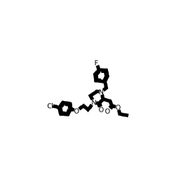 CCOC(=O)CC1C(=O)N(CCOc2ccc(Cl)cc2)CCN1Cc1ccc(F)cc1